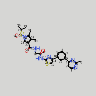 Cc1nccc(-c2cccc(-c3csc(NC(=O)CNC(=O)c4cn([S+]([O-])C(C)C)c(C)c4C)n3)c2)n1